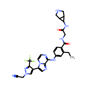 CCc1cc(Nc2nccn3c(-c4cn(CC#N)nc4C(F)(F)F)cnc23)ccc1C(=O)NCC(=O)NC1C2CNCC21